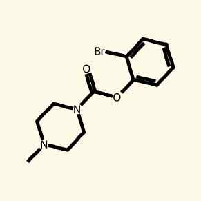 CN1CCN(C(=O)Oc2ccccc2Br)CC1